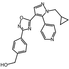 OCc1ccc(-c2noc(-c3cnn(CC4CC4)c3-c3ccncc3)n2)cc1